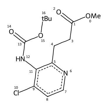 COC(=O)CCc1nccc(Cl)c1NC(=O)OC(C)(C)C